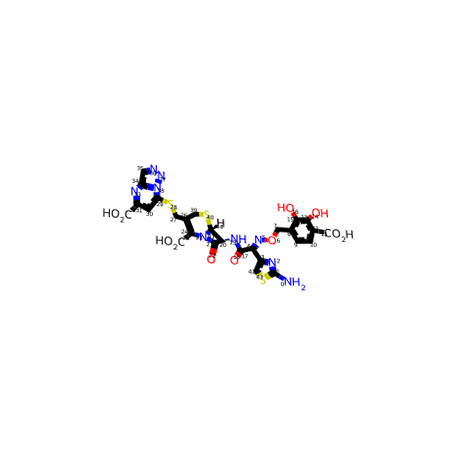 Nc1nc(C(=NOCc2ccc(C(=O)O)c(O)c2O)C(=O)N[C@@H]2C(=O)N3C(C(=O)O)=C(CSc4cc(C(=O)O)nc5cnnn45)CS[C@H]23)cs1